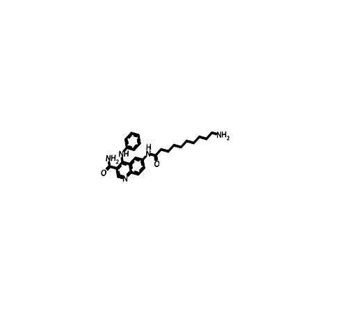 NCCCCCCCCCC(=O)Nc1ccc2ncc(C(N)=O)c(Nc3ccccc3)c2c1